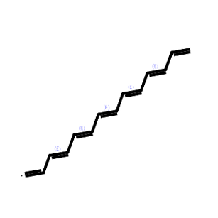 [CH]=C/C=C/C=C/C=C/C=C/C=C/C=C